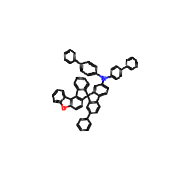 c1ccc(-c2ccc(N(c3ccc(-c4ccccc4)cc3)c3ccc4c(c3)C3(c5cc(-c6ccccc6)ccc5-4)c4ccccc4-c4c3ccc3oc5ccccc5c43)cc2)cc1